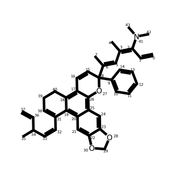 C=C/C(=C(C)\C=C(/C)C1(c2ccccc2)C=Cc2c3c(c4cc5c(cc4c2O1)OCO5)C(/C=C\C(C)C=C)=CCC3)N(C)C